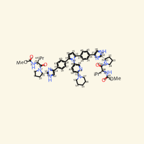 COC(=O)N[C@H](C(=O)N1CCC[C@H]1c1nc(-c2ccc(-c3ccc(-c4ccc(-c5c[nH]c([C@@H]6CCCN6C(=O)[C@@H](NC(=O)OC)C(C)C)n5)cc4)n3-c3ccc(N4CCCCC4)nc3)cc2)c[nH]1)C(C)C